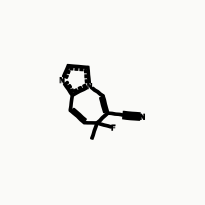 CC1(F)C=Cc2nccn2C=C1C#N